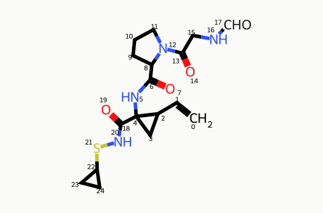 C=CC1CC1(NC(=O)C1CCCN1C(=O)CNC=O)C(=O)NSC1CC1